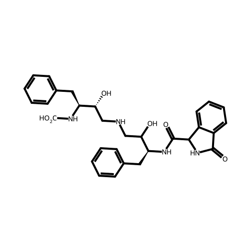 O=C(O)N[C@@H](Cc1ccccc1)[C@H](O)CNCC(O)[C@H](Cc1ccccc1)NC(=O)C1NC(=O)c2ccccc21